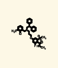 CNC(=O)c1c(F)cc(OCCCN(Cc2cccc(C)c2Cl)CC(c2ccccc2)c2ccccc2)cc1S(C)(=O)=O